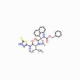 CC(C)[C@H](NC(=O)[C@](C)(NC(=O)OCc1ccccc1)c1cccc2ccccc12)C(=O)Nc1n[nH]c(=S)s1